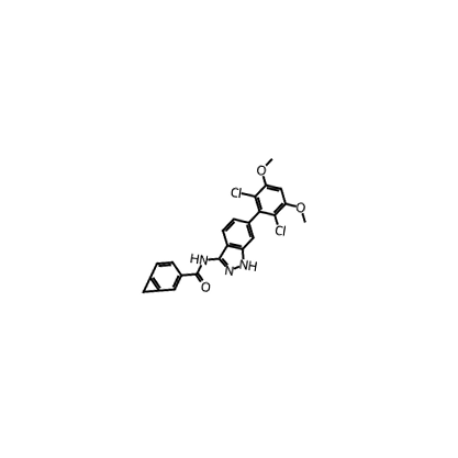 COc1cc(OC)c(Cl)c(-c2ccc3c(NC(=O)c4ccc5c(c4)C5)n[nH]c3c2)c1Cl